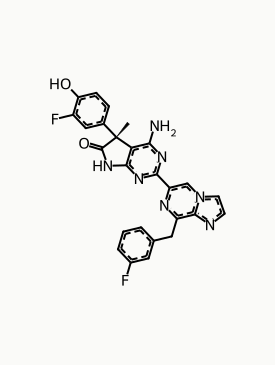 C[C@]1(c2ccc(O)c(F)c2)C(=O)Nc2nc(-c3cn4ccnc4c(Cc4cccc(F)c4)n3)nc(N)c21